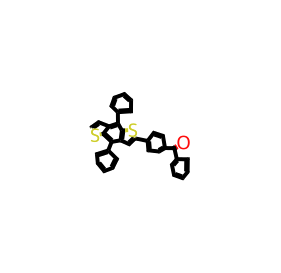 O=C(c1ccccc1)c1ccc(-c2cc3c(-c4ccccc4)c4sccc4c(-c4ccccc4)c3s2)cc1